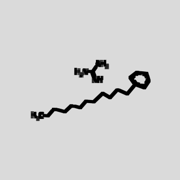 CCCCCCCCCCCCc1ccccc1.N=C(N)N